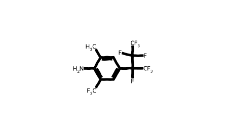 Cc1cc(C(F)(C(F)(F)F)C(F)(F)C(F)(F)F)cc(C(F)(F)F)c1N